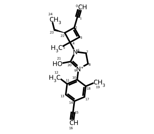 C#CC1=CC(C)(N2CC[N+](c3c(C)cc(C#C)cc3C)=C2O)[C@H]1CC